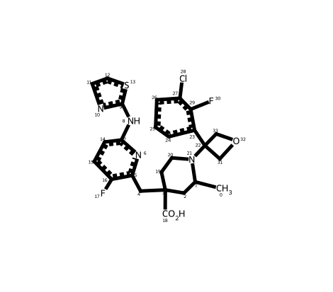 CC1CC(Cc2nc(Nc3nccs3)ccc2F)(C(=O)O)CCN1C1(c2cccc(Cl)c2F)COC1